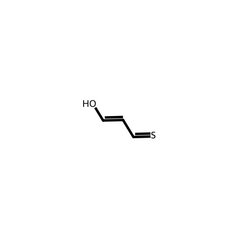 OC=CC=S